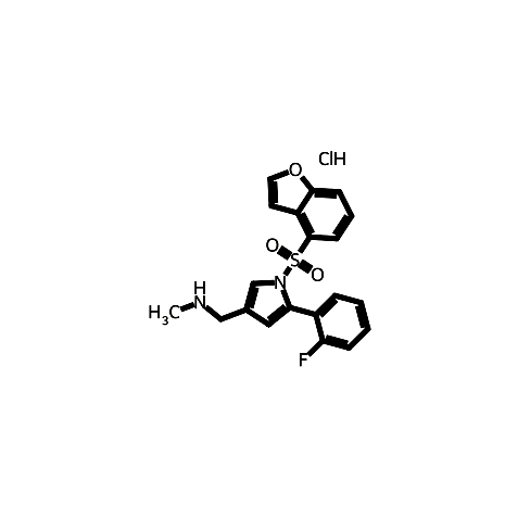 CNCc1cc(-c2ccccc2F)n(S(=O)(=O)c2cccc3occc23)c1.Cl